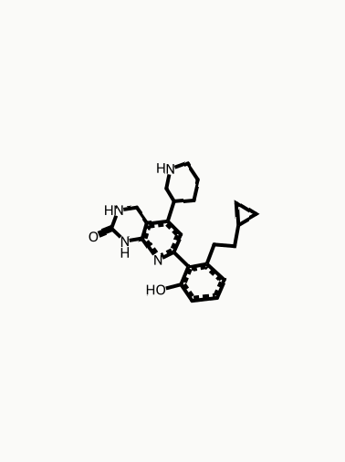 O=C1NCc2c(C3CCCNC3)cc(-c3c(O)cccc3CCC3CC3)nc2N1